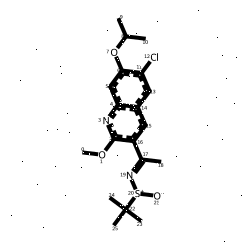 COc1nc2cc(OC(C)C)c(Cl)cc2cc1/C(C)=N/[S+]([O-])C(C)(C)C